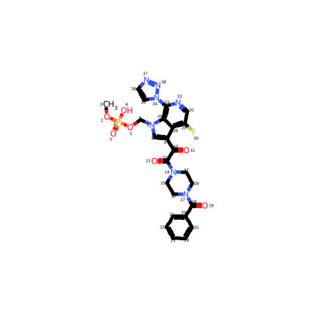 COP(=O)(O)OCn1cc(C(=O)C(=O)N2CCN(C(=O)c3ccccc3)CC2)c2c(F)cnc(-n3ccnn3)c21